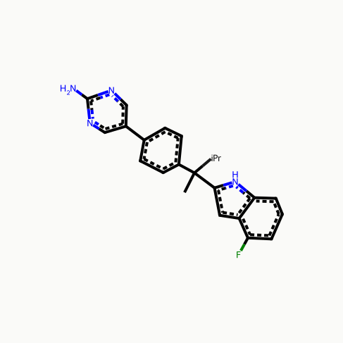 CC(C)C(C)(c1ccc(-c2cnc(N)nc2)cc1)c1cc2c(F)cccc2[nH]1